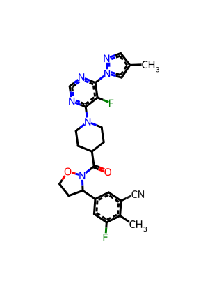 Cc1cnn(-c2ncnc(N3CCC(C(=O)N4OCCC4c4cc(F)c(C)c(C#N)c4)CC3)c2F)c1